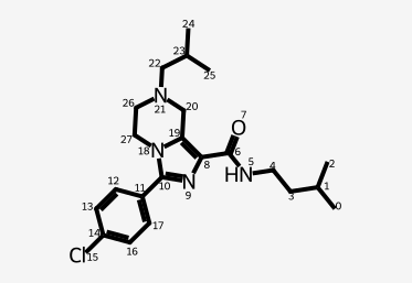 CC(C)CCNC(=O)c1nc(-c2ccc(Cl)cc2)n2c1CN(CC(C)C)CC2